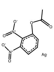 CC(=O)Oc1cccc([N+](=O)[O-])c1[N+](=O)[O-].[Ag]